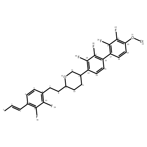 C/C=C/c1ccc(CCC2CCC(c3ccc(-c4ccc(OCC)c(F)c4F)c(F)c3F)CO2)c(F)c1F